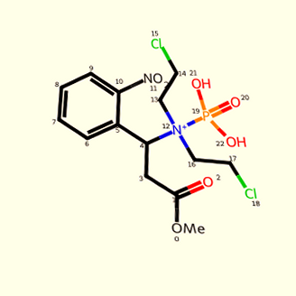 COC(=O)CC(c1ccccc1[N+](=O)[O-])[N+](CCCl)(CCCl)P(=O)(O)O